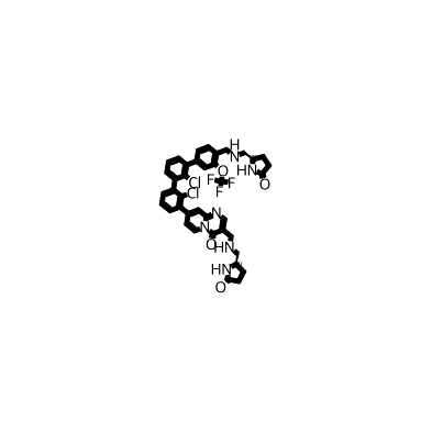 O=C1CC[C@H](CNCc2ccc(-c3cccc(-c4cccc(-c5ccn6c(=O)c(CNC[C@H]7CCC(=O)N7)cnc6c5)c4Cl)c3Cl)cc2OC(F)(F)F)N1